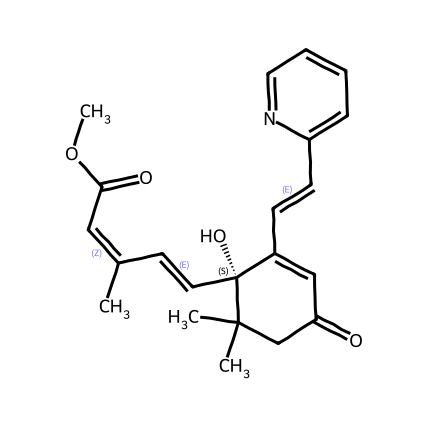 COC(=O)/C=C(C)\C=C\[C@@]1(O)C(/C=C/c2ccccn2)=CC(=O)CC1(C)C